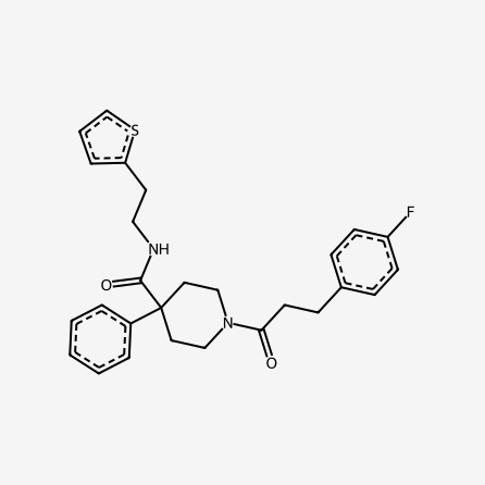 O=C(CCc1ccc(F)cc1)N1CCC(C(=O)NCCc2cccs2)(c2ccccc2)CC1